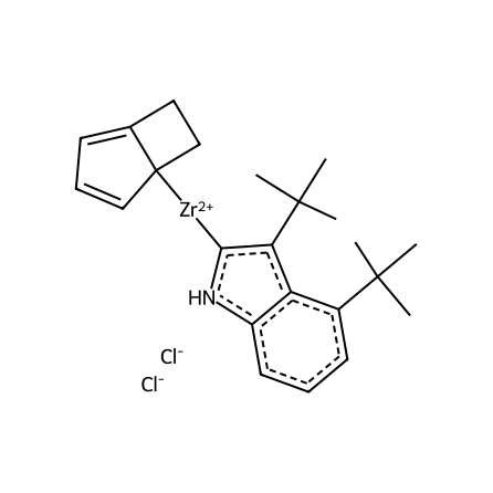 CC(C)(C)c1cccc2[nH][c]([Zr+2][C]34C=CC=C3CC4)c(C(C)(C)C)c12.[Cl-].[Cl-]